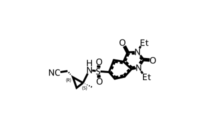 CCn1c(=O)c2cc(S(=O)(=O)N[C@@]3(C)C[C@@H]3CC#N)ccc2n(CC)c1=O